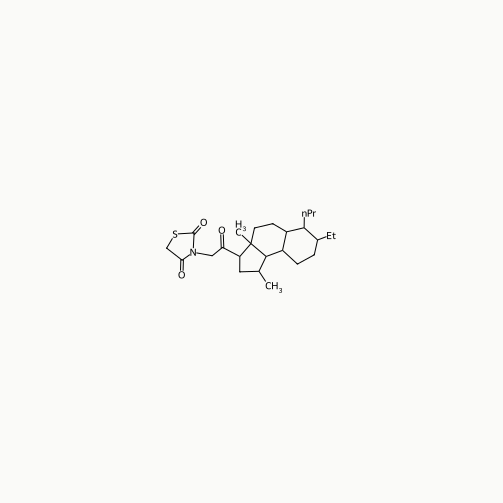 CCCC1C(CC)CCC2C1CCC1(C)C(C(=O)CN3C(=O)CSC3=O)CC(C)C21